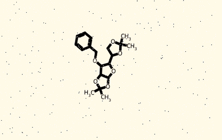 CC1(C)OCC(C2OC3OC(C)(C)OC3C2OCc2ccccc2)O1